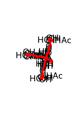 CC(=O)N[C@@H]1[C@@H](O)[C@@H](O)[C@@H](CO)O[C@@H]1CCCCCOCCOCCNC(=O)NCCCOCC(COCCCNC(=O)NCCOCCOCCCCC[C@H]1O[C@H](CO)[C@H](O)[C@H](O)[C@H]1NC(C)=O)(COCCCNC(=O)NCCOCCOCCCCC[C@H]1O[C@H](CO)[C@H](O)[C@H](O)[C@H]1NC(C)=O)NC(=O)OCc1ccccc1